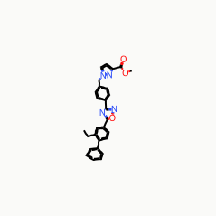 CCc1cc(-c2nc(-c3ccc(Cn4ccc(C(=O)OC)n4)cc3)no2)ccc1-c1ccccc1